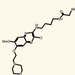 COc1cc2nc(NCCCCNC(=O)CC(C)(C)C)c(Cl)nc2cc1OCCN1CCOCC1